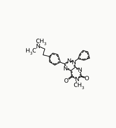 CN(C)CCc1ccc(-c2nc3c(=O)n(C)c(=O)nc-3n(-c3ccccc3)n2)cc1